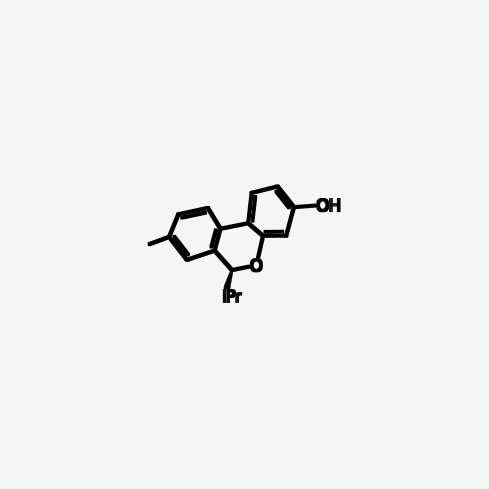 Cc1ccc2c(c1)[C@H](C(C)C)Oc1cc(O)ccc1-2